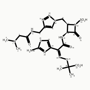 CN(C)CC(=O)NCc1cn(C[C@@H]2[C@H](NC(=O)/C(=N\OC(C)(C)C(=O)O)c3csc(N)n3)C(=O)N2S(=O)(=O)O)nn1